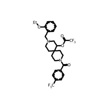 CCOc1ccccc1CN1CCC2(CCN(C(=O)c3ccc(C(F)(F)F)cc3)CC2)C(OC(=O)C(F)(F)F)C1